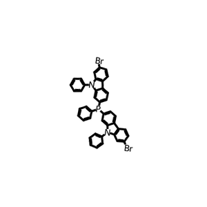 Brc1ccc2c3ccc(P(c4ccccc4)c4ccc5c6ccc(Br)cc6n(-c6ccccc6)c5c4)cc3n(-c3ccccc3)c2c1